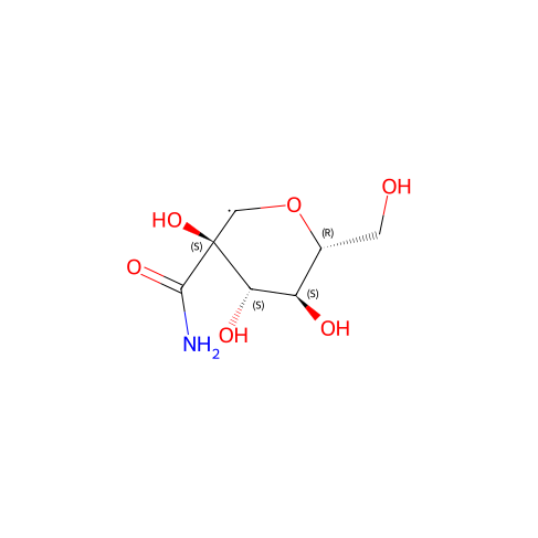 NC(=O)[C@]1(O)[CH]O[C@H](CO)[C@@H](O)[C@@H]1O